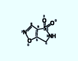 O=S1(=O)NCc2oncc21